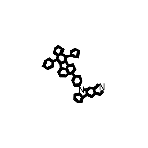 C1=C(c2ccc3c4c(cccc24)-c2c-3c(-c3ccccc3)c3ccccc3c2-c2ccccc2)CCC(n2c3ccccc3c3cc4ccncc4cc32)=C1